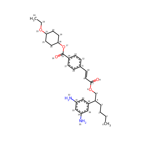 CCCCC(COC(=O)/C=C/c1ccc(C(=O)OC2CCC(OCC)CC2)cc1)c1cc(N)cc(N)c1